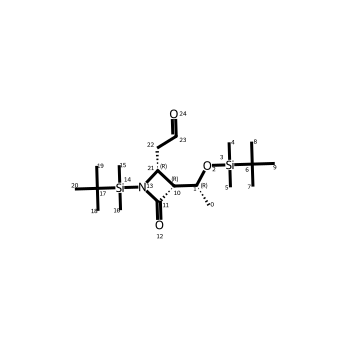 C[C@@H](O[Si](C)(C)C(C)(C)C)[C@@H]1C(=O)N([Si](C)(C)C(C)(C)C)[C@@H]1CC=O